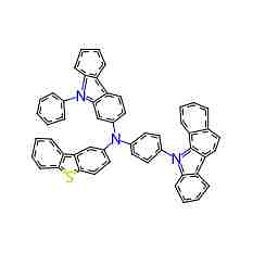 c1ccc(-n2c3ccccc3c3ccc(N(c4ccc(-n5c6ccccc6c6ccc7ccccc7c65)cc4)c4ccc5sc6ccccc6c5c4)cc32)cc1